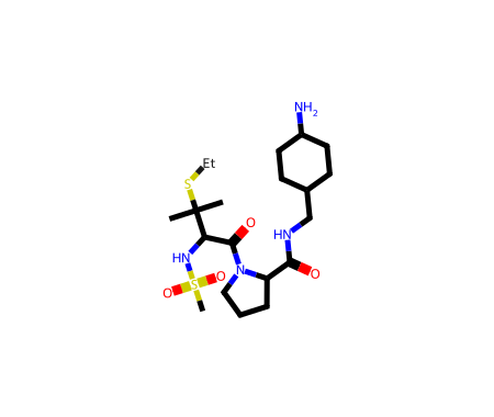 CCSC(C)(C)C(NS(C)(=O)=O)C(=O)N1CCCC1C(=O)NCC1CCC(N)CC1